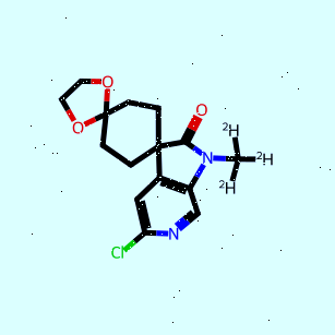 [2H]C([2H])([2H])N1C(=O)C2(CCC3(CC2)OCCO3)c2cc(Cl)ncc21